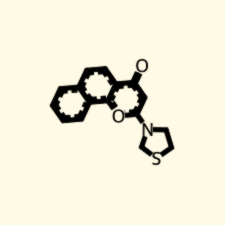 O=c1cc(N2CCSC2)oc2c1ccc1ccccc12